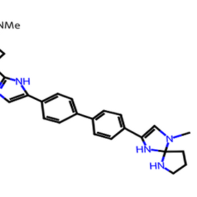 CNCCCc1ncc(-c2ccc(-c3ccc(C4=CN(C)C5(CCCN5)N4)cc3)cc2)[nH]1